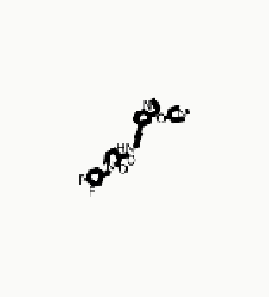 CN1CCC(Oc2ccnc3ccc(C#CCNC(=O)c4cccn(Cc5ccc(F)c(F)c5)c4=O)cc23)CC1